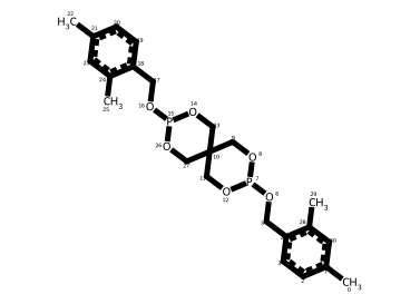 Cc1ccc(COP2OCC3(CO2)COP(OCc2ccc(C)cc2C)OC3)c(C)c1